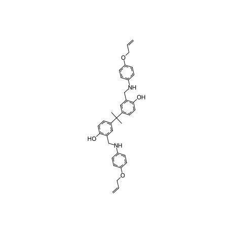 C=CCOc1ccc(NCc2cc(C(C)(C)c3ccc(O)c(CNc4ccc(OCC=C)cc4)c3)ccc2O)cc1